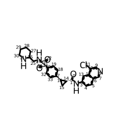 O=C(Nc1ccc2cncc(Cl)c2c1)[C@@H]1C[C@H]1c1ccc(S(=O)(=O)NCC2CCCCN2)cc1